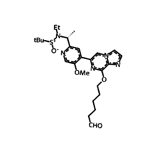 CCN([C@H](C)c1cc(-c2cn3ccnc3c(OCCCCCC=O)n2)c(OC)cn1)[S+]([O-])C(C)(C)C